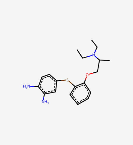 CCN(CC)C(C)COc1ccccc1Sc1ccc(N)c(N)c1